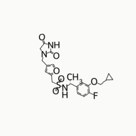 C[C@@H](NS(=O)(=O)Cc1cc(CN2CC(=O)NC2=O)co1)c1ccc(F)c(OCC2CC2)c1